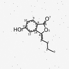 CCCC=C1OC(=O)c2ccc(O)cc21